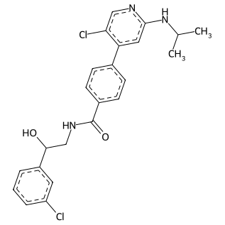 CC(C)Nc1cc(-c2ccc(C(=O)NCC(O)c3cccc(Cl)c3)cc2)c(Cl)cn1